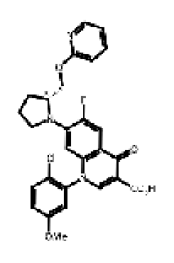 COc1ccc(Cl)c(-n2cc(C(=O)O)c(=O)c3cc(F)c(N4CCC[C@@H]4COc4ccccn4)cc32)c1